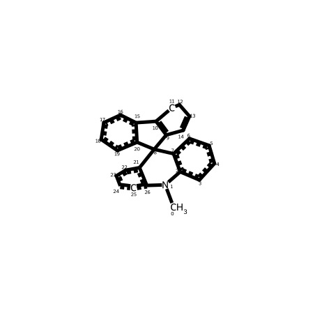 CN1c2ccccc2C2(C3=C(CCC=C3)c3ccccc32)c2ccccc21